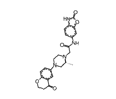 C[C@@H]1CN(c2ccc3c(c2)C(=O)CCO3)CCN1CC(=O)Nc1ccc2[nH]c(=O)oc2c1